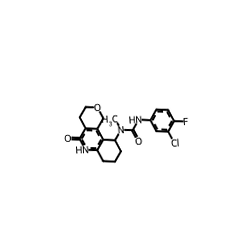 CN(C(=O)Nc1ccc(F)c(Cl)c1)C1CCCc2[nH]c(=O)c3c(c21)COCC3